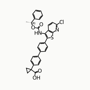 C[C@@H](OC(=O)Nc1c(-c2ccc(-c3ccc(C4(C(=O)O)CC4)cc3)cc2)sc2nc(Cl)ccc12)c1ccccc1